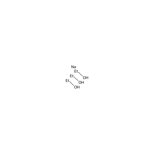 CCO.CCO.CCO.[Na]